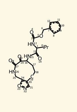 CC(C)C(NC(=O)OCc1ccccc1)C(=O)NC1CCCc2cnoc2CNC(=O)C1=O